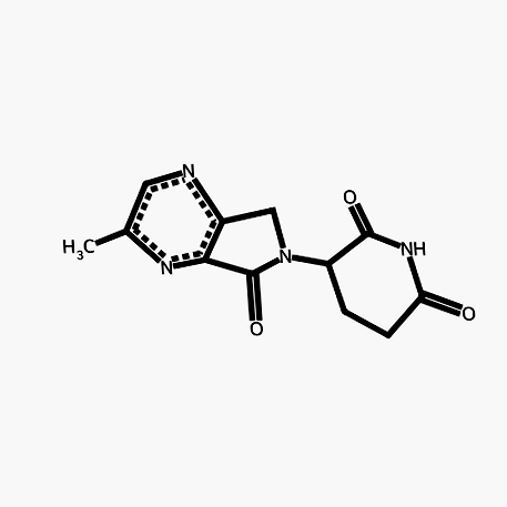 Cc1cnc2c(n1)C(=O)N(C1CCC(=O)NC1=O)C2